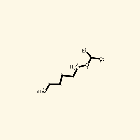 CCCCCCCCCC[SiH2]OC(CC)CC